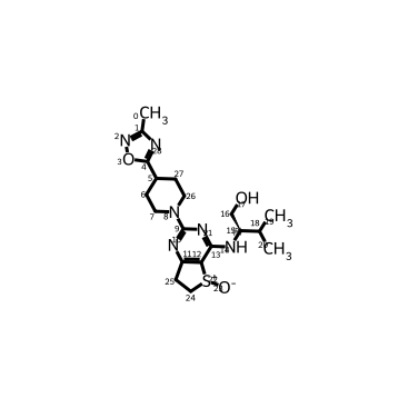 Cc1noc(C2CCN(c3nc4c(c(N[C@@H](CO)C(C)C)n3)[S+]([O-])CC4)CC2)n1